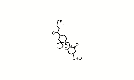 O=CN1CCN(CC2(O)CCN(C(=O)CCC(F)(F)F)CC23CCCC3)C(=O)C1